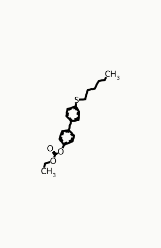 CCCCCCSc1ccc(-c2ccc(OC(=O)OCC)cc2)cc1